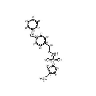 [CH2]c1ccc(S(=O)(=O)NCCc2ccc(Oc3ccccc3)cc2)s1